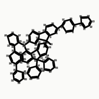 CC1(C)c2cc(-c3ccc(-c4ccccc4)cc3)ccc2-c2ccc(N(c3ccccc3-c3ccc(-c4ccccc4)cc3)c3cccc4c3-c3ccccc3C4(c3ccccc3)c3ccccc3)cc21